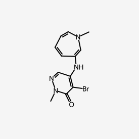 CN1C=CC=CC(Nc2cnn(C)c(=O)c2Br)=C1